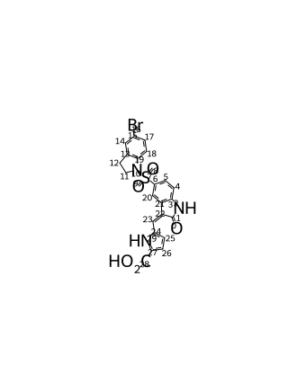 O=C1Nc2ccc(S(=O)(=O)N3CCc4cc(Br)ccc43)cc2/C1=C/c1ccc(C(=O)O)[nH]1